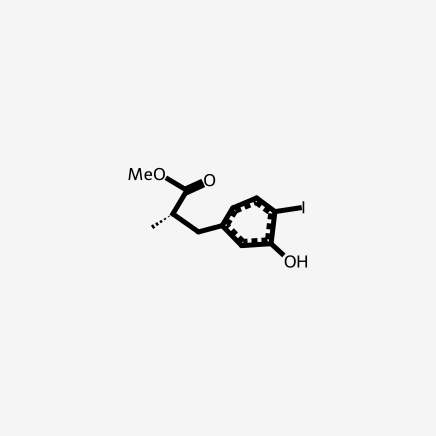 COC(=O)[C@@H](C)Cc1ccc(I)c(O)c1